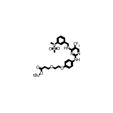 CN(c1cccc(CNc2nc(Nc3ccc(OCCOCCC(=O)OC(C)(C)C)cc3)ncc2C(F)(F)F)c1)S(C)(=O)=O